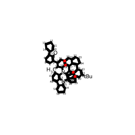 CC1C(c2cccc3c2oc2ccccc23)=CC=CC1N(c1ccccc1-c1cccc2cccc(-c3cc(C(C)(C)C)cc(C(C)(C)C)c3)c12)c1cccc2c3ccccc3n(-c3ccccc3)c12